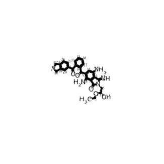 CCOC(O)CN1C(=N)c2c(N)cc(C(=O)c3ccccc3C(=O)c3ccc4c(c3)CN=C4)c(N)c2C1=O